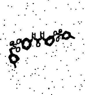 Cc1ccc(CS(=O)(=O)Oc2cccc(NC(=O)Nc3cccc(OS(=O)(=O)c4ccc(C)cc4)c3)c2)cc1